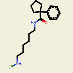 O=C(NCCCCCCNCl)C1(c2ccccc2)CCCC1